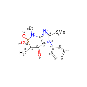 CCN1c2nc(SC)n(-c3ccccc3)c2C(=O)C(C)S1(=O)=O